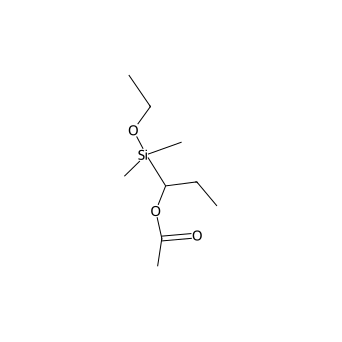 CCO[Si](C)(C)C(CC)OC(C)=O